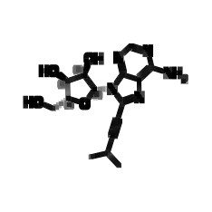 CC(C)C#Cc1nc2c(N)ncnc2n1[C@@H]1O[C@H](CO)[C@@H](O)[C@H]1O